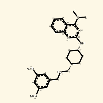 COc1cc(CNC[C@H]2CC[C@@H](Nc3nc(N(C)C)c4ccccc4n3)CC2)cc(OC)c1